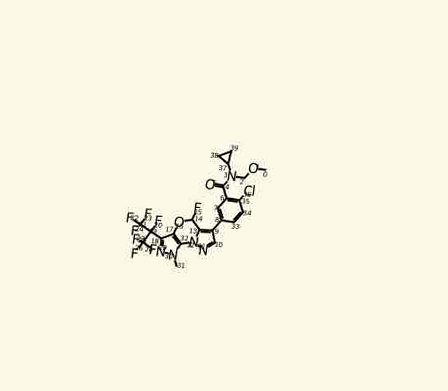 COCN(C(=O)c1cc(-c2cnn3c2C(F)Oc2c(C(F)(C(F)(F)F)C(F)(F)F)nn(C)c2-3)ccc1Cl)C1CC1